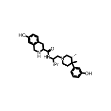 CC(C)C(CN1CCC(C)(c2cccc(O)c2)[C@@H](C)C1)NC(=O)C1Cc2ccc(O)cc2CN1